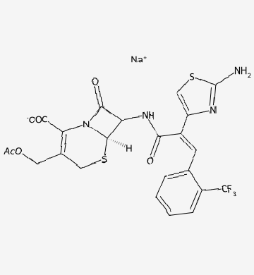 CC(=O)OCC1=C(C(=O)[O-])N2C(=O)C(NC(=O)/C(=C\c3ccccc3C(F)(F)F)c3csc(N)n3)[C@H]2SC1.[Na+]